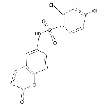 O=c1ccc2cc(NS(=O)(=O)c3ccc(Cl)cc3Cl)ccc2o1